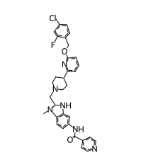 CN1c2ccc(NC(=O)c3ccncc3)cc2NC1CN1CCC(c2cccc(OCc3ccc(Cl)cc3F)n2)CC1